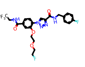 O=C(NCC(F)(F)F)c1ccc(-n2cc(C(=O)NCc3ccc(F)cc3)nn2)c(OCCOCCF)c1